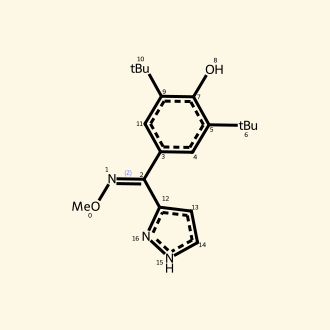 CO/N=C(/c1cc(C(C)(C)C)c(O)c(C(C)(C)C)c1)c1cc[nH]n1